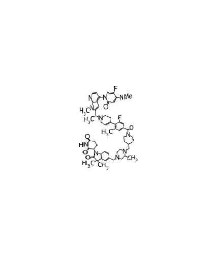 CNc1cc(=O)n(-c2ccnc3c2cc([C@H](C)N2CC=C(c4c(C)cc(C(=O)N5CCC(CN6CCN(Cc7ccc8c(c7)C(C)(C)C(=O)N8[C@@H]7CCC(=O)NC7=O)C[C@@H]6C)CC5)cc4F)CC2)n3C)cc1F